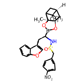 CC1(C)C2C[C@H]1CC1OB(C(Cc3coc4ccccc34)N[S+]([O-])Cc3ccc([N+](=O)[O-])cc3)O[C@]12C